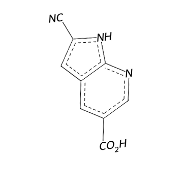 N#Cc1cc2cc(C(=O)O)cnc2[nH]1